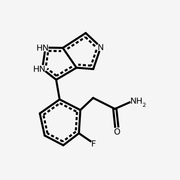 NC(=O)Cc1c(F)cccc1-c1[nH][nH]c2cncc1-2